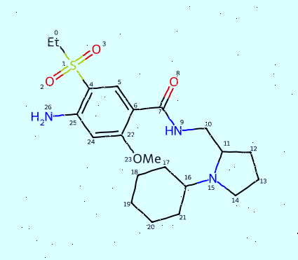 CCS(=O)(=O)c1cc(C(=O)NCC2CCCN2C2CCCCC2)c(OC)cc1N